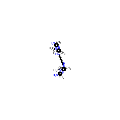 CC1=CC2=Nc3cc(C)c(N)cc3N(C(C)C)C2C=C1NCCCCCCCCNc1cc2c(cc1C)nc1cc(C)c(N)cc1[n+]2C(C)C